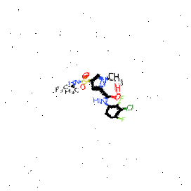 C[C@@H](NS(=O)(=O)c1cc(C(O)Nc2ccc(F)c(Cl)c2F)n(C)c1)C(F)(F)F